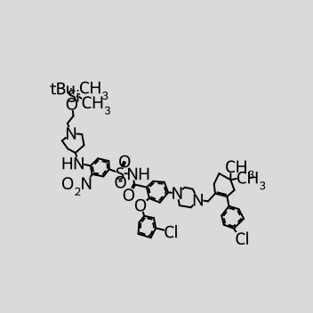 CC1(C)CCC(CN2CCN(c3ccc(C(=O)NS(=O)(=O)c4ccc(NC5CCN(CCO[Si](C)(C)C(C)(C)C)CC5)c([N+](=O)[O-])c4)c(Oc4cccc(Cl)c4)c3)CC2)=C(c2ccc(Cl)cc2)C1